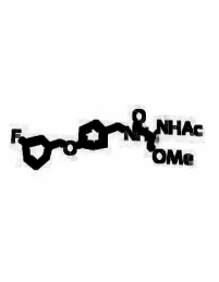 COC[C@@H](NC(C)=O)C(=O)NCc1ccc(OCC2C=C(F)C=CC2)cc1